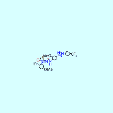 COc1ccc(C(C)C)c(N2C(=O)CS/C2=N\C(=O)Nc2ccc(-c3ncn(-c4ccc(C(F)(F)F)cc4)n3)cc2OC)c1